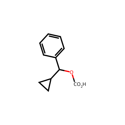 O=C(O)OC(c1ccccc1)C1CC1